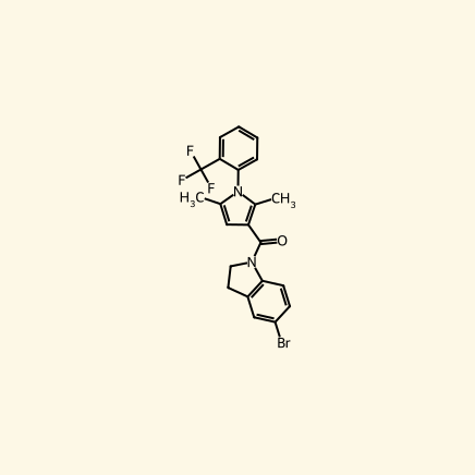 Cc1cc(C(=O)N2CCc3cc(Br)ccc32)c(C)n1-c1ccccc1C(F)(F)F